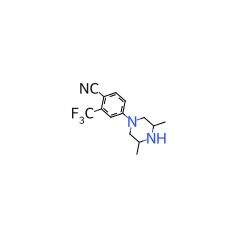 CC1CN(c2ccc(C#N)c(C(F)(F)F)c2)CC(C)N1